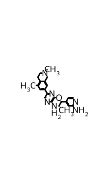 CCC(Oc1nc(-c2cc(C)c3c(c2)CN(C)CC3)cnc1N)c1ccnc(N)c1